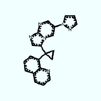 c1cnc2c(C3(c4cnc5ncc(-n6cccn6)cn45)CC3)cccc2c1